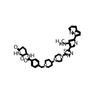 CNc1cc(-c2ccc3cccnn23)ncc1-c1nnc(N2CCN(C3CCN(Cc4ccc(C(=O)NC5CCC(=O)NC5=O)cc4)CC3)CC2)s1